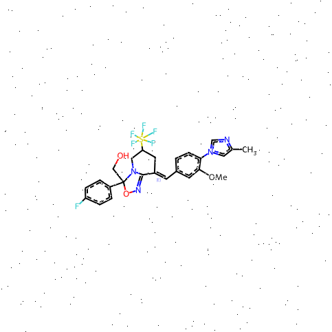 COc1cc(/C=C2\CC(S(F)(F)(F)(F)F)CN3C2=NOC3(CO)c2ccc(F)cc2)ccc1-n1cnc(C)c1